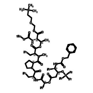 CC(C)C[C@H](NC(=O)[C@@H](OC(=O)C[C@H](O[Si](C(C)C)(C(C)C)C(C)C)[C@H](NC(=O)OCc1ccccc1)C(C)C)C(C)C)C(=O)N1CCC[C@H]1C(=O)N(C)[C@@H](CC(C)C)C(=O)O[C@H](C)[C@H](NC(=O)OC(C)(C)C)C(=O)OCOCC[Si](C)(C)C